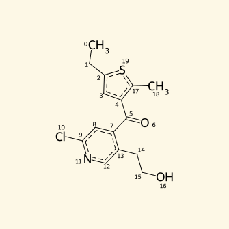 CCc1cc(C(=O)c2cc(Cl)ncc2CCO)c(C)s1